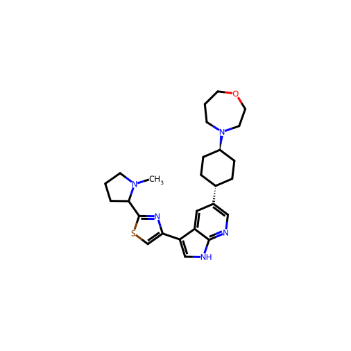 CN1CCCC1c1nc(-c2c[nH]c3ncc([C@H]4CC[C@H](N5CCCOCC5)CC4)cc23)cs1